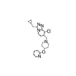 Clc1c(CN2CCC(Oc3ccccn3)CC2)ccn2c(CC3CC3)nnc12